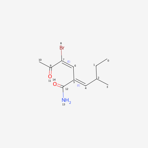 CCC(C)/C=C(\C=C(\Br)C(C)=O)C(N)=O